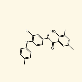 Cc1ccc(Oc2ccc(NC(=O)c3cc(C)cc(C)c3O)cc2Cl)cc1